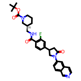 CC(C)(C)OC(=O)N1CCC[C@@H](CNC(=O)c2ccc(C3CC(=O)N(c4ccc5cnccc5c4)C3)cc2F)C1